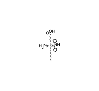 CCCCCCCCCCCCCCCCCC(=O)O.S=C(Nc1ccccc1)c1ccccc1.[PbH2]